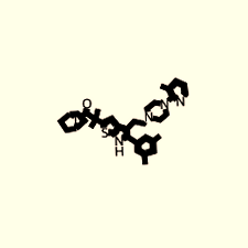 Cc1cc(C)cc(-c2[nH]c3sc(C(C)(C)C(=O)N4C5CCC4CC5)cc3c2CCN2CCN(c3ncccc3C)CC2)c1